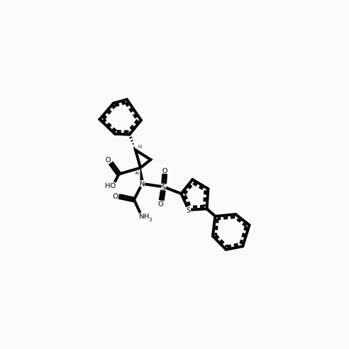 NC(=O)N([C@]1(C(=O)O)C[C@H]1c1ccccc1)S(=O)(=O)c1ccc(-c2ccccc2)s1